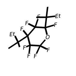 CCC(C)(C)C1(F)OC(F)(F)C(F)(F)C(F)(C(C)(C)CC)C1(F)F